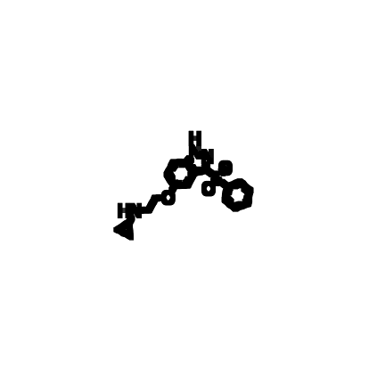 O=S(=O)(c1ccccc1)c1n[nH]c2ccc(OCCNC3CC3)cc12